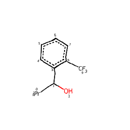 CC(C)C(O)c1ccccc1C(F)(F)F